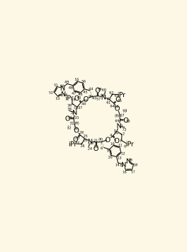 CC(C)CC[C@H]1C(=O)O[C@H](Cc2cccc(Cn3cccn3)c2)C(=O)N(C)[C@@H](CC(C)C)C(=O)O[C@H](C)C(=O)N(C)[C@@H](CC(C)C)C(=O)O[C@H](Cc2ccc(Cn3cccn3)cc2)C(=O)N(C)[C@@H](CC(C)C)C(=O)O[C@H](C)C(=O)N1C